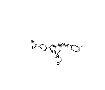 CCN(CC)c1ccc(-c2cc3nc(NN=Cc4cccc(C)c4)cc(N4CCOCC4)n3n2)cc1